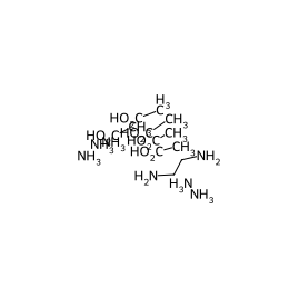 CC(=O)O.CC(=O)O.CC(=O)O.CC(=O)O.CC(=O)O.N.N.N.N.N.NCCN